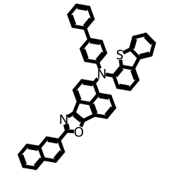 c1ccc(-c2ccc(N(c3ccc4c5c(cccc35)-c3oc(-c5ccc6ccccc6c5)nc3-4)c3cccc4c3sc3ccccc34)cc2)cc1